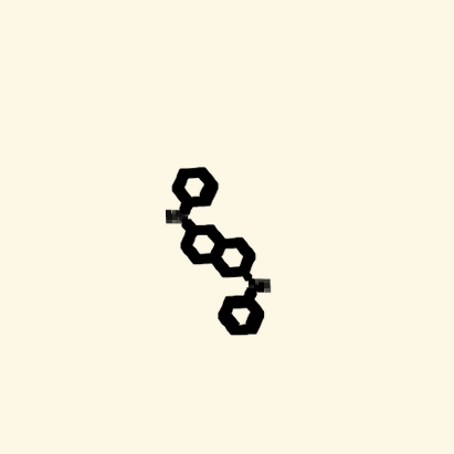 C1=CC(NC2CCC3C[C@@H](Nc4ccccc4)CCC3C2)CCC1